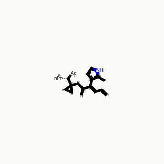 C=C/C=C(\c1cc[nH]c1C)C(C)CC1([C@H](CCC)C(C)=O)CC1